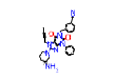 CC#CCn1c(N2CCC[C@@H](N)C2)nc2c1c(=O)n(Cc1cccc(C#N)c1)c(=O)n2-c1ccccc1